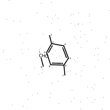 CC=O.Cc1ccc(C)cc1